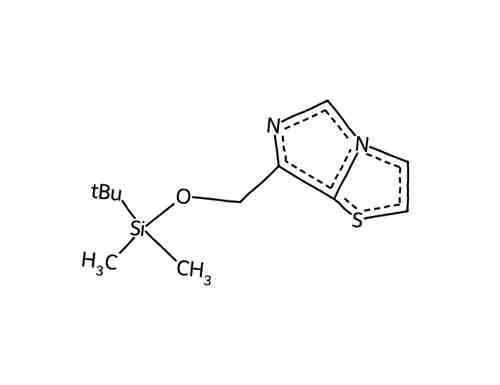 CC(C)(C)[Si](C)(C)OCc1ncn2ccsc12